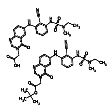 CCN(C)S(=O)(=O)Nc1cccc(Nc2ccc3ncn(CC(=O)O)c(=O)c3c2)c1C#N.CCN(C)S(=O)(=O)Nc1cccc(Nc2ccc3ncn(CC(=O)OC(C)(C)C)c(=O)c3c2)c1C#N